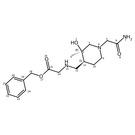 C[C@]1(O)CN(CC(N)=O)CC[C@H]1CNCC(=O)OCc1ccccc1